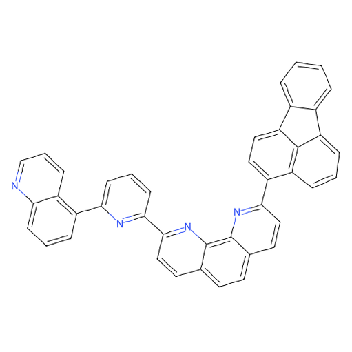 c1cc(-c2ccc3ccc4ccc(-c5ccc6c7c(cccc57)-c5ccccc5-6)nc4c3n2)nc(-c2cccc3ncccc23)c1